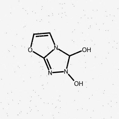 OC1N(O)N=C2OC=CN21